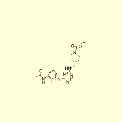 CC(=O)Nc1cccc(Nc2ncnc(NCC3CCN(C(=O)OC(C)(C)C)CC3)n2)c1C